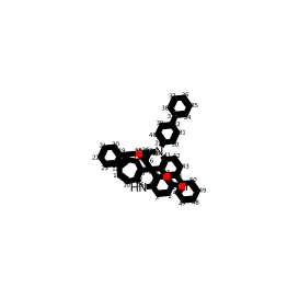 Clc1ccc2c(c1)C1(C3=C(C=CC#CC3)N2)c2cc(-c3ccccc3)ccc2N(c2ccc(-c3ccccc3)cc2)c2ccc(-c3ccccc3)cc21